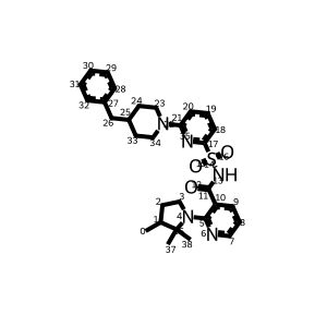 CC1CCN(c2ncccc2C(=O)NS(=O)(=O)c2cccc(N3CCC(Cc4ccccc4)CC3)n2)C1(C)C